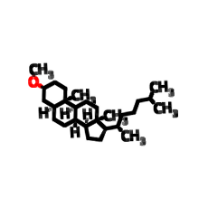 CO[C@H]1CC[C@@]2(C)[C@@H](CC[C@@H]3[C@@H]2CC[C@]2(C)[C@@H]([C@H](C)CCCC(C)C)CC[C@@H]32)C1